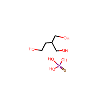 OCCC(CO)CO.OP(O)(O)=S